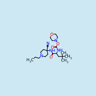 CCCN1CCC(C#N)(NC(=O)C(CC(C)(C)C)NC(=O)ON2CCOCC2)CC1